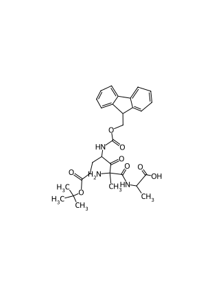 CC(NC(=O)C(C)(N)C(=O)C(CCC(=O)OC(C)(C)C)NC(=O)OCC1c2ccccc2-c2ccccc21)C(=O)O